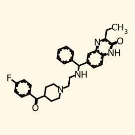 CCc1nc2cc(C(NCCN3CCC(C(=O)c4ccc(F)cc4)CC3)c3ccccc3)ccc2[nH]c1=O